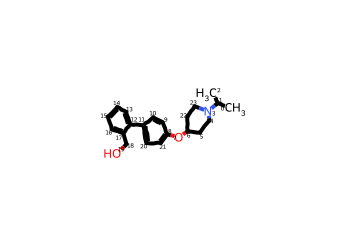 CC(C)N1CCC(Oc2ccc(-c3ccccc3CO)cc2)CC1